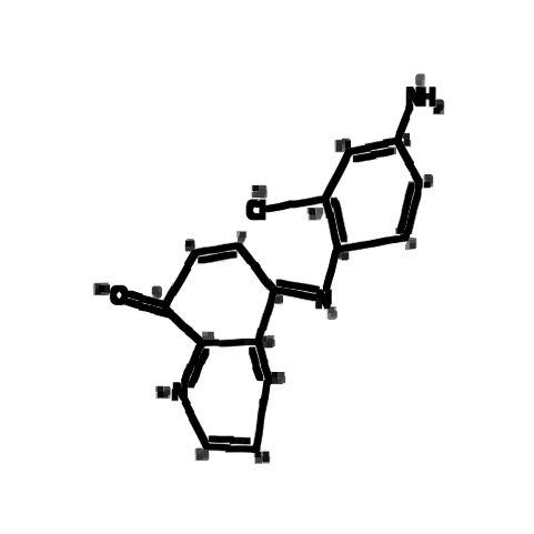 Nc1ccc(N=C2C=CC(=O)c3ncccc32)c(Cl)c1